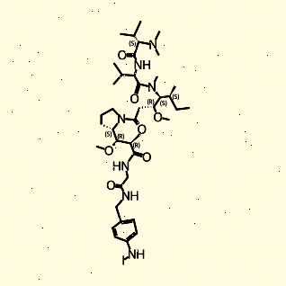 CC[C@H](C)[C@@H]([C@@H](CC(=O)N1CCC[C@H]1[C@H](OC)[C@@H](C)C(=O)NCC(=O)NCc1ccc(NI)cc1)OC)N(C)C(=O)C(NC(=O)[C@H](C(C)C)N(C)C)C(C)C